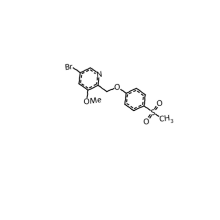 COc1cc(Br)cnc1COc1ccc(S(C)(=O)=O)cc1